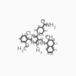 COc1cccc(Cl)c1-c1nc(C)c(CNC2c3ccccc3CCC2C)c(N2CCC(C(N)=O)CC2)n1